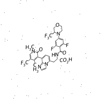 Cc1c(C(F)(F)F)cn(C)c(=O)c1-c1ccc(C[C@H](NC(=O)c2c(F)cc(N3CCOC[C@@H]3C(F)(F)F)cc2F)C(=O)O)n2ccnc12